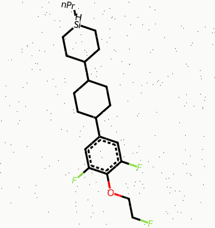 CCC[SiH]1CCC(C2CCC(c3cc(F)c(OCCF)c(F)c3)CC2)CC1